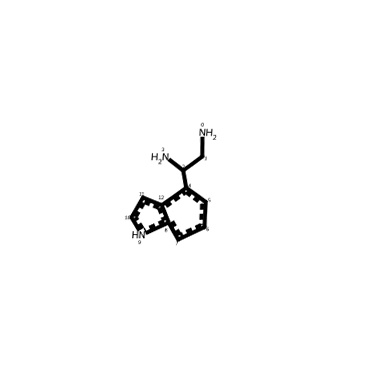 NCC(N)c1cccc2[nH]ccc12